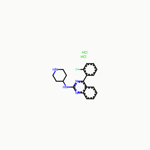 Cl.Cl.Fc1ccccc1-c1nc(NC2CCNCC2)nc2ccccc12